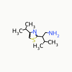 CC(C)c1csc(C(CN)C(C)C)n1